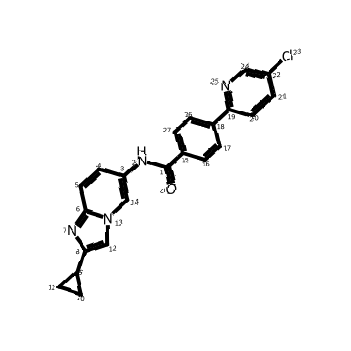 O=C(Nc1ccc2nc(C3CC3)cn2c1)c1ccc(-c2ccc(Cl)cn2)cc1